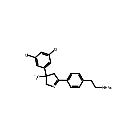 CC(=O)NCCc1ccc(C2=NCC(c3cc(Cl)cc(Cl)c3)(C(F)(F)F)C2)cc1